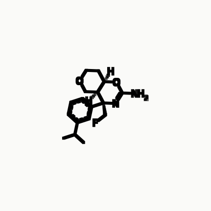 CC(C)c1cccc([C@@]2(CF)N=C(N)O[C@@H]3CCOC[C@@H]32)c1